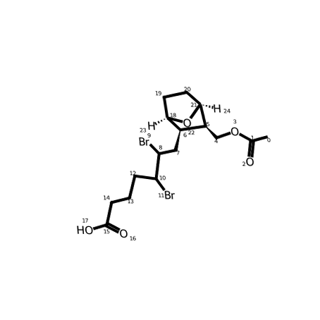 CC(=O)OC[C@H]1[C@@H](CC(Br)C(Br)CCCC(=O)O)[C@H]2CC[C@@H]1O2